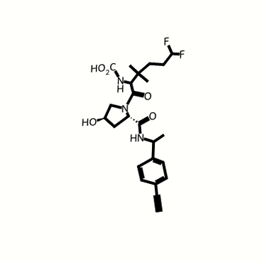 C#Cc1ccc(C(C)NC(=O)[C@@H]2C[C@@H](O)CN2C(=O)C(NC(=O)O)C(C)(C)CCC(F)F)cc1